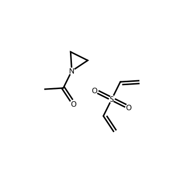 C=CS(=O)(=O)C=C.CC(=O)N1CC1